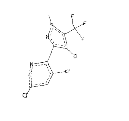 Cn1nc(-c2ncc(Cl)cc2Cl)c(Cl)c1C(F)(F)F